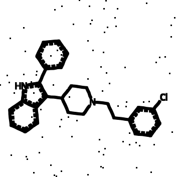 Clc1cccc(CCN2CCC(c3c(-c4ccccc4)[nH]c4ccccc34)CC2)c1